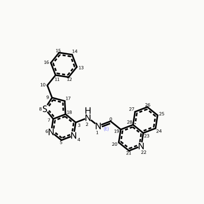 C(=N\Nc1ncnc2sc(Cc3ccccc3)cc12)/c1ccnc2ccccc12